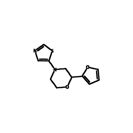 c1coc(C2CN(c3cncs3)CCO2)c1